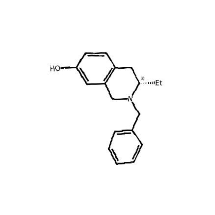 CC[C@H]1Cc2ccc(O)cc2CN1Cc1ccccc1